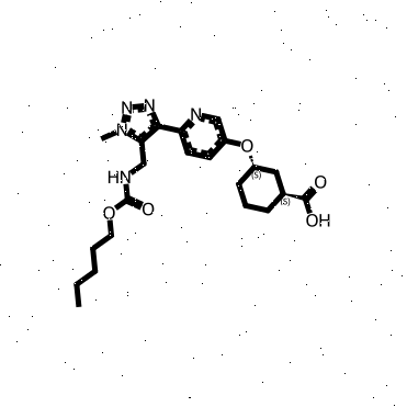 CCCCCOC(=O)NCc1c(-c2ccc(O[C@H]3CCC[C@H](C(=O)O)C3)cn2)nnn1C